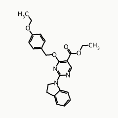 CCOC(=O)c1cnc(N2CCc3ccccc32)nc1OCc1ccc(OCC)cc1